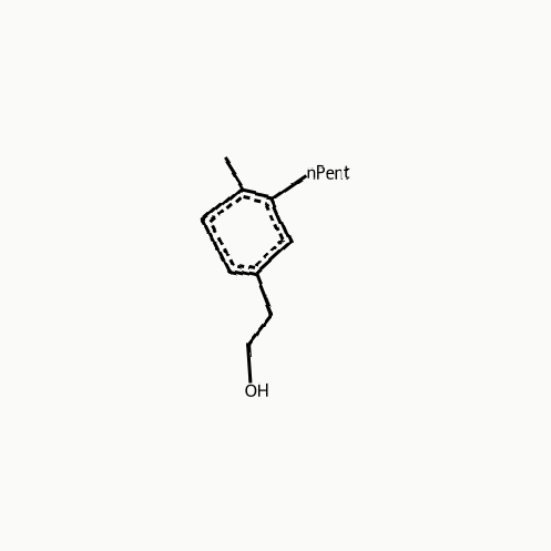 CCCCCc1cc(CCO)ccc1C